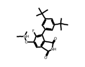 C[SiH](C)Oc1cc2c(c(-c3cc(C(C)(C)C)cc(C(C)(C)C)c3)c1F)C(=O)NC2=O